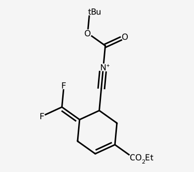 CCOC(=O)C1=CCC(=C(F)F)C(C#[N+]C(=O)OC(C)(C)C)C1